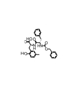 Cc1ccc(O)c(C[C@H](NC(=O)[C@H](Cc2ccccc2)NC(=O)OCc2ccccc2)C(=O)O)c1